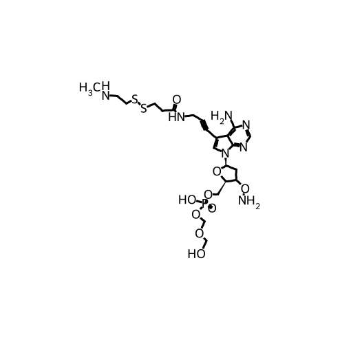 CNCCSSCCC(=O)NCC#Cc1cn([C@H]2CC(ON)[C@@H](COP(=O)(O)OCOCO)O2)c2ncnc(N)c12